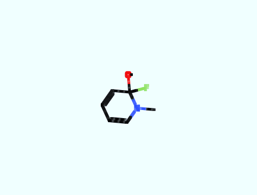 CN1C=CC=CC1([O])F